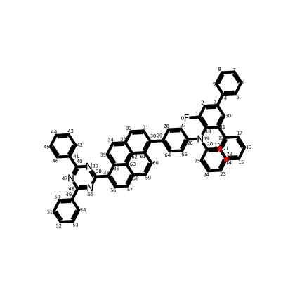 Fc1cc(-c2ccccc2)cc(-c2ccccc2)c1N(c1ccccc1)c1ccc(-c2ccc3ccc4c(-c5nc(-c6ccccc6)nc(-c6ccccc6)n5)ccc5ccc2c3c54)cc1